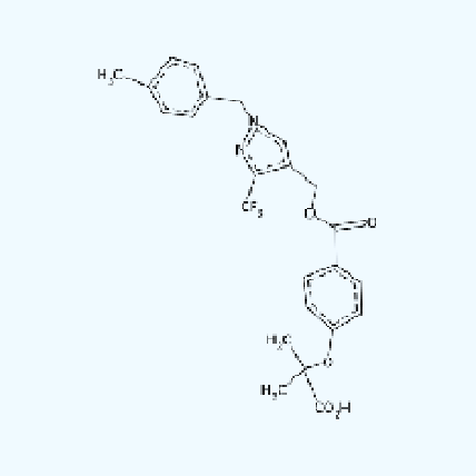 Cc1ccc(Cn2cc(COC(=O)c3ccc(OC(C)(C)C(=O)O)cc3)c(C(F)(F)F)n2)cc1